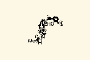 COC(=O)Nc1nc(C)c(S(=O)(=O)N2CCN(C[C@H](C)N(C=O)c3cc(-c4cccc(CN(C)C)c4)cs3)CC2)s1